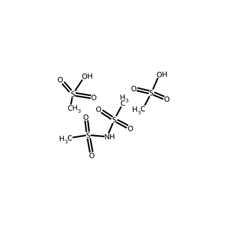 CS(=O)(=O)NS(C)(=O)=O.CS(=O)(=O)O.CS(=O)(=O)O